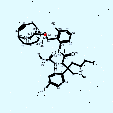 COCC(CCCF)(c1ccc(F)cc1)[C@H](NC(=O)OC)C(=O)Nc1cccc(F)c1CC[C@H]1CNC2C#CCN1[S+]([O-])CCC2